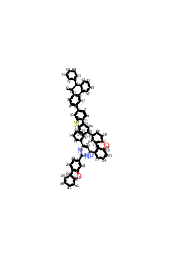 CC1c2ccc(-c3ccc4c(c3)sc3ccc(-c5ccc6oc7cccc(C8C=C(c9ccccc9)N=C(c9ccc%10c(c9)oc9ccccc9%10)N8)c7c6c5)cc34)cc2-c2ccccc2C1c1ccccc1